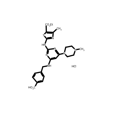 CCOC(=O)c1sc(Nc2nc(NCc3ccc(C(=O)O)cc3)cc(N3CCN(C)CC3)n2)nc1C.Cl